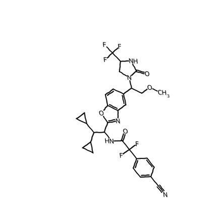 COCC(c1ccc2oc(C(NC(=O)C(F)(F)c3ccc(C#N)cc3)C(C3CC3)C3CC3)nc2c1)N1CC(C(F)(F)F)NC1=O